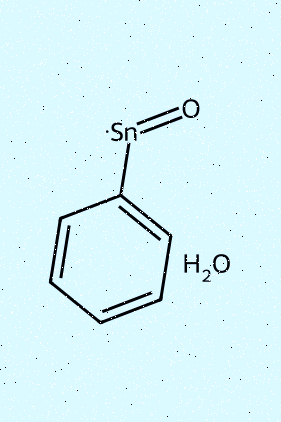 O.[O]=[Sn][c]1ccccc1